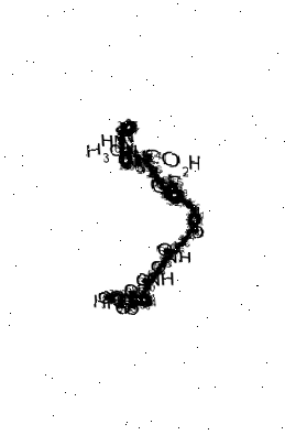 Cc1c(Nc2nc3ccccc3s2)nnc2c1CCCN2c1nc(C(=O)O)c(CCCOc2ccc(C#CCN3CCN(C(=O)CCCCCCC(=O)NCCOCCNC(=O)COc4cccc5c4C(=O)N(C4CCC(=O)NC4=O)C5=O)CC3)cc2F)s1